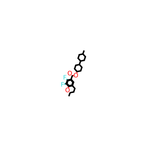 CC1CCC(C2CCC(OC(=O)c3cc4c(c(F)c3F)OC(C)CC4)CC2)CC1